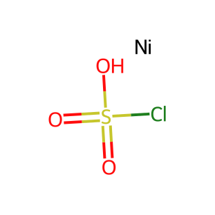 O=S(=O)(O)Cl.[Ni]